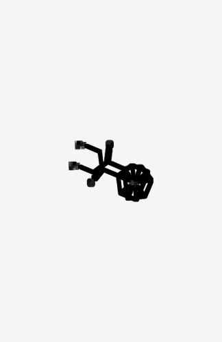 CC(C)CC(=O)[C]12[CH]3[CH]4[CH]5[CH]1[Fe]45321678[CH]2[CH]1[CH]6[C]7(C(=O)CC(C)C)[CH]28